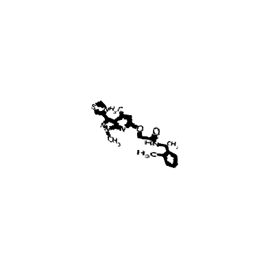 Cc1ccccc1C(C)NC(=O)COc1cc(C)c2c(-c3cscn3)nn(C)c2n1